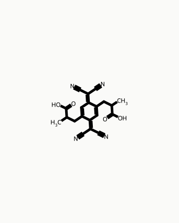 CC(Cc1cc(=C(C#N)C#N)c(CC(C)C(=O)O)cc1=C(C#N)C#N)C(=O)O